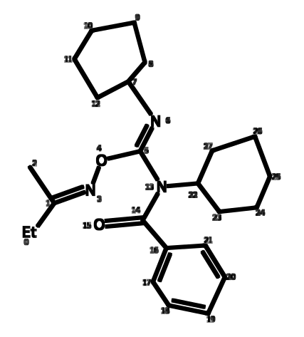 CCC(C)=NOC(=NC1CCCCC1)N(C(=O)c1ccccc1)C1CCCCC1